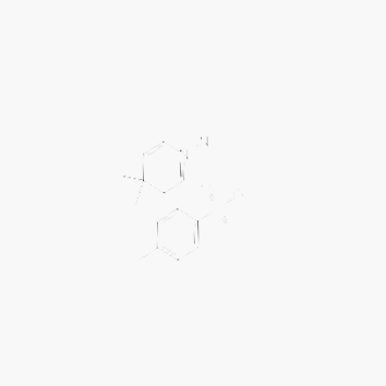 CC1(C)C=C[N+](N)=CC1.Cc1ccc(S(=O)(=O)[O-])cc1